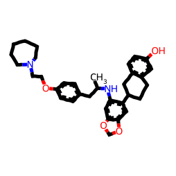 CC(Cc1ccc(OCCN2CCCCCC2)cc1)Nc1cc2c(cc1C1CCc3cc(O)ccc3C1)OCO2